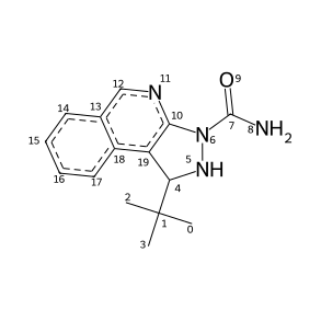 CC(C)(C)C1NN(C(N)=O)c2ncc3ccccc3c21